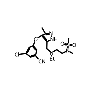 CCN(CCN(C)S(C)(=O)=O)Cc1[nH]nc(C)c1Oc1cc(Cl)cc(C#N)c1